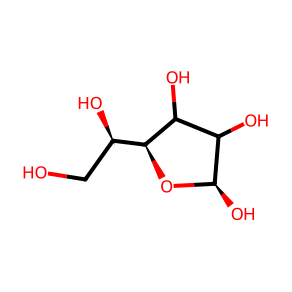 OC[C@@H](O)[C@@H]1O[C@H](O)C(O)C1O